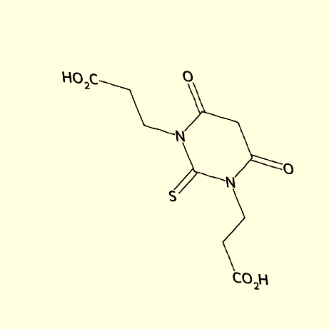 O=C(O)CCN1C(=O)CC(=O)N(CCC(=O)O)C1=S